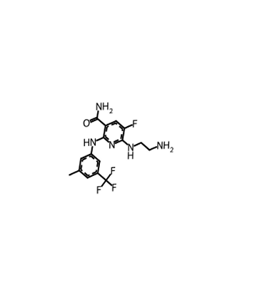 Cc1cc(Nc2nc(NCCN)c(F)cc2C(N)=O)cc(C(F)(F)F)c1